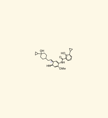 COC1=CC(=N)/C(=C\CC2CCC(O)(C3CC3)CC2)C=C1NC(=O)c1cccc(C2CC2)[n+]1O